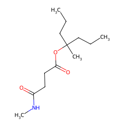 CCCC(C)(CCC)OC(=O)CCC(=O)NC